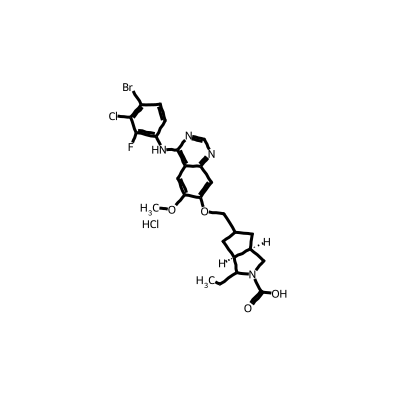 CCC1[C@H]2CC(COc3cc4ncnc(Nc5ccc(Br)c(Cl)c5F)c4cc3OC)C[C@H]2CN1C(=O)O.Cl